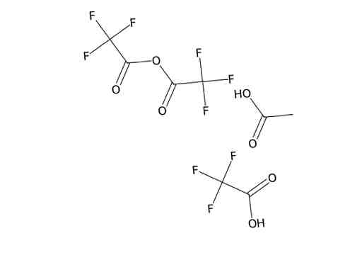 CC(=O)O.O=C(O)C(F)(F)F.O=C(OC(=O)C(F)(F)F)C(F)(F)F